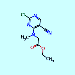 CCOC(=O)CN(C)c1nc(Cl)ncc1C#N